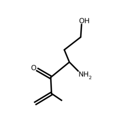 C=C(C)C(=O)C(N)CCO